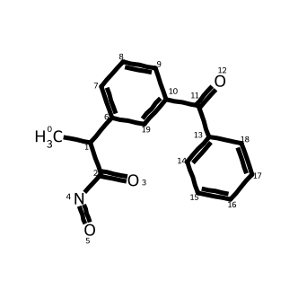 CC(C(=O)N=O)c1cccc(C(=O)c2ccccc2)c1